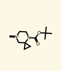 C=[N+]1CCN(C(=O)OC(C)(C)C)C2(CC2)C1